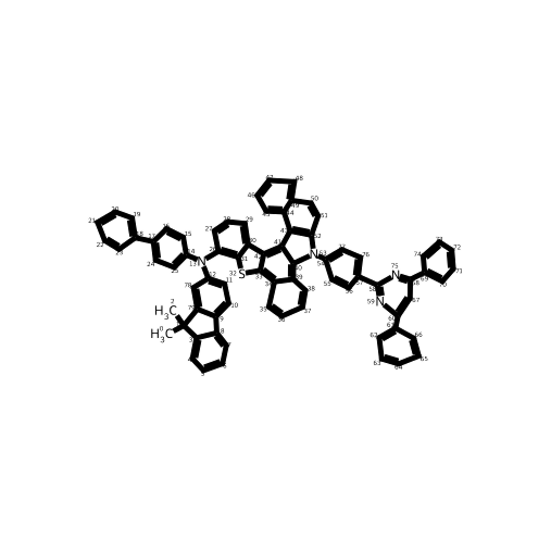 CC1(C)c2ccccc2-c2ccc(N(c3ccc(-c4ccccc4)cc3)c3cccc4c3sc3c5ccccc5c5c(c43)c3c4ccccc4ccc3n5-c3ccc(-c4nc(-c5ccccc5)cc(-c5ccccc5)n4)cc3)cc21